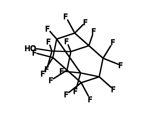 OC(F)(F)C1(F)C2(F)C(F)(F)C3(F)C(F)(F)C(F)(C2(F)F)C(F)(F)C1(F)C3(F)F